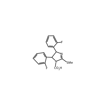 CSC1=NC(c2ccccc2F)C(c2ccccc2F)N1C(=O)O